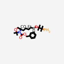 CCOC(=O)C1(CCCCBOC(C)(C)C(C)(C)P)COC(C)(C)N1C(=O)OCc1ccccc1